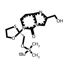 CC(C)(C)[Si](C)(C)OC[C@]1(n2ccc3nc(CO)cn3c2=O)OCCS1